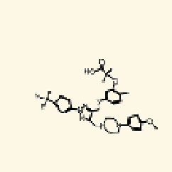 COc1ccc(N2CCN(Cc3nn(-c4ccc(C(F)(F)F)cc4)nc3CSc3ccc(C)c(OC(C)(C)C(=O)O)c3)CC2)cc1